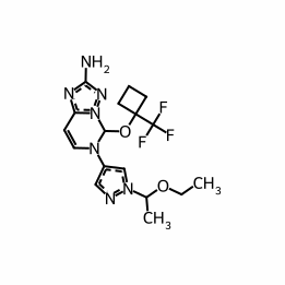 CCOC(C)n1cc(N2C=Cc3nc(N)nn3C2OC2(C(F)(F)F)CCC2)cn1